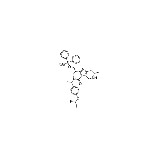 CC(c1ccc(OC(F)F)cc1)N1C[C@@H](CO[Si](c2ccccc2)(c2ccccc2)C(C)(C)C)n2nc3c(c2C1=O)CN[C@H](C)C3